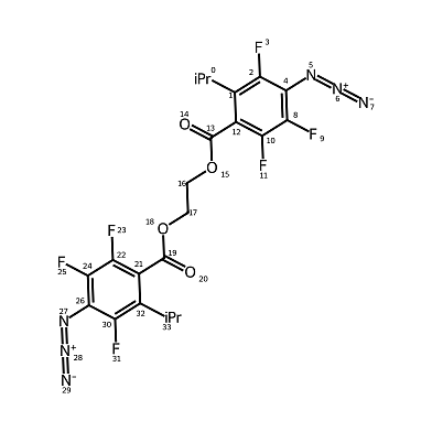 CC(C)c1c(F)c(N=[N+]=[N-])c(F)c(F)c1C(=O)OCCOC(=O)c1c(F)c(F)c(N=[N+]=[N-])c(F)c1C(C)C